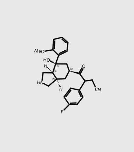 COc1ccccc1[C@]1(O)C[C@@H](C(=O)C(CC#N)c2ccc(F)cc2)C[C@H]2CNC[C@H]21